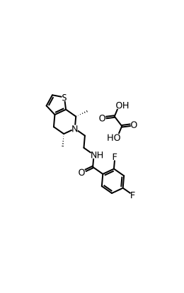 C[C@@H]1Cc2ccsc2[C@H](C)N1CCNC(=O)c1ccc(F)cc1F.O=C(O)C(=O)O